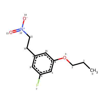 CCCOc1cc(F)cc(CC[N+](=O)[O-])c1